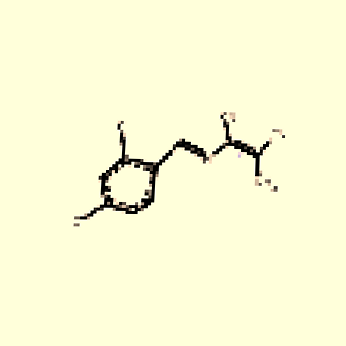 N#C/C(N)=C(\C#N)N=Cc1ccc(Cl)cc1Cl